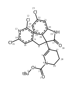 CC(C)(C)OC(=O)N1C=C(C2(Cc3cc(Cl)nc(Cl)c3)C(=O)Nc3cc(Cl)ccc32)CCC1